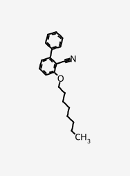 CCCCCCCCOc1cccc(-c2ccccc2)c1C#N